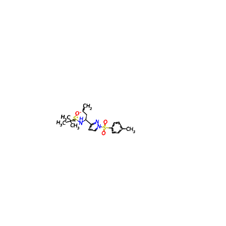 C=CCC(N[S@@+]([O-])C(C)(C)C)c1ccn(S(=O)(=O)c2ccc(C)cc2)n1